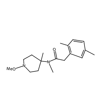 CON1CCC(C)(N(C)C(=O)Cc2cc(C)ccc2C)CC1